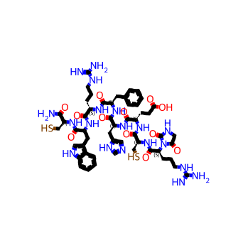 N=C(N)NCCC[C@H](NC(=O)[C@@H](Cc1ccccc1)NC(=O)[C@H](Cc1cnc[nH]1)NC(=O)[C@H](CCC(=O)O)NC(=O)[C@H](CS)NC(=O)[C@H](CCCNC(=N)N)N1C(=O)CNC1=O)C(=O)NC(Cc1c[nH]c2ccccc12)C(=O)N[C@@H](CS)C(N)=O